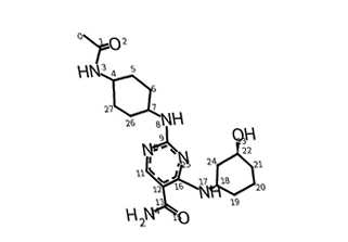 CC(=O)NC1CCC(Nc2ncc(C(N)=O)c(N[C@@H]3CCC[C@H](O)C3)n2)CC1